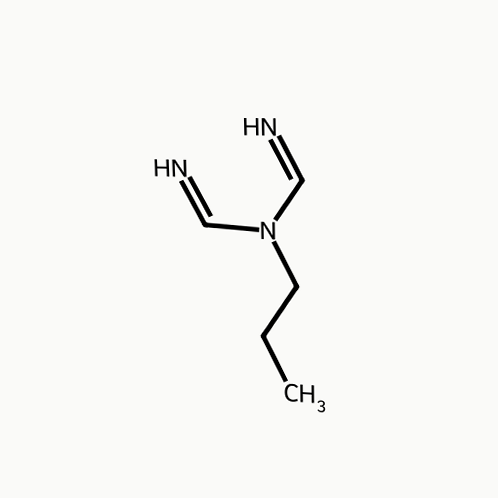 CCCN(C=N)C=N